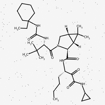 CCCC[C@H](NC(=O)[C@@H]1[C@@H]2[C@H](CN1C(=O)[C@@H](NC(=O)NC1(CC)CCCCC1)C(C)(C)C)C2(C)C)C(=O)C(=O)NC1CC1